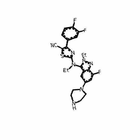 CCN(c1nc(-c2ccc(F)c(F)c2)c(C#N)s1)c1c2cc(N3CCNCC3)cc(F)c2nn1CC